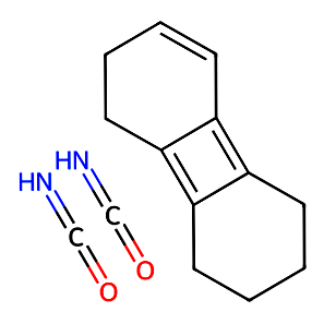 C1=CC2=C3CCCCC3=C2CC1.N=C=O.N=C=O